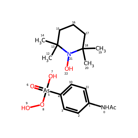 CC(=O)Nc1ccc([As](=O)(O)OO)cc1.CC1(C)CCCC(C)(C)N1O